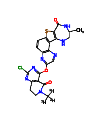 [2H]C([2H])([2H])N1CCc2nc(Cl)nc(Oc3cnc4c(ccc5sc6c(c54)NCC(C)NC6=O)n3)c2C1=O